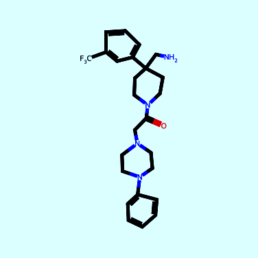 NCC1(c2cccc(C(F)(F)F)c2)CCN(C(=O)CN2CCN(c3ccccc3)CC2)CC1